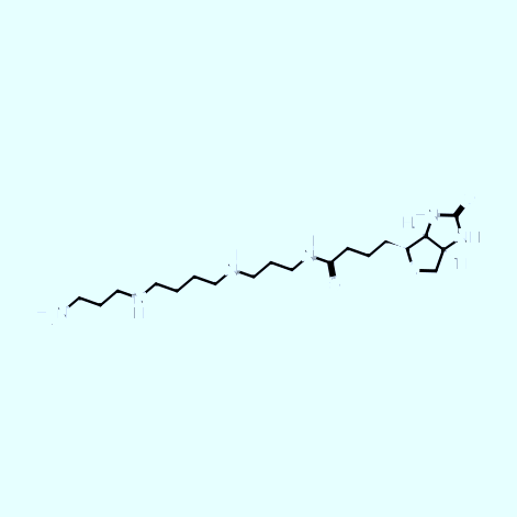 NCCCNCCCCNCCCNC(=O)CCC[C@@H]1SC[C@@H]2NC(=O)N[C@@H]21